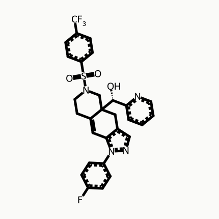 O=S(=O)(c1ccc(C(F)(F)F)cc1)N1CCC2=Cc3c(cnn3-c3ccc(F)cc3)CC2([C@H](O)c2ccccn2)C1